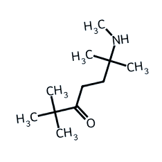 CNC(C)(C)CCC(=O)C(C)(C)C